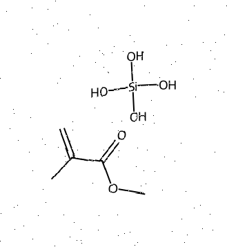 C=C(C)C(=O)OC.O[Si](O)(O)O